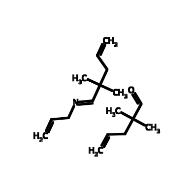 C=CCC(C)(C)C=O.C=CCN=CC(C)(C)CC=C